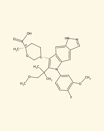 COCC(C)(C)c1c([C@H]2CC[C@](C)(C(=O)O)OC2)c2cc3[nH]ncc3cc2n1-c1ccc(F)c(OC)c1